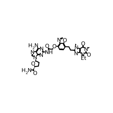 CCn1c(=O)n(C)c(=O)c2c1nc(CCc1ccc(OCC(=O)Nc3nc(N)c4ncn([C@H]5CC[C@@H](C(N)=O)O5)c4n3)c3ncoc13)n2C